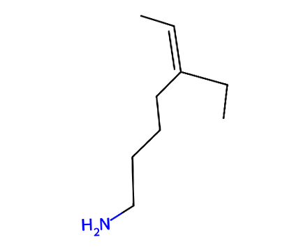 CC=C(CC)CCCCN